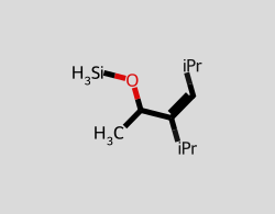 CC(C)C=C(C(C)C)C(C)O[SiH3]